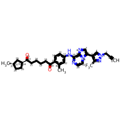 C#CCn1cc(-c2cnc3c(Nc4ccc(C(=O)CCCCC(=O)[C@H]5CC[C@H](C)C5)c(C)c4)nccn23)c(C(F)(F)F)n1